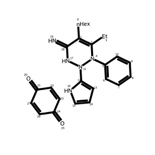 CCCCCCC1=C(CC)N(c2ccccc2)N(c2ccc[nH]2)NC1=N.O=C1C=CC(=O)C=C1